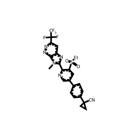 CCS(=O)(=O)c1cc(-c2ccc(C3(C#N)CC3)cc2)cnc1-c1nc2cc(C(F)(F)C(F)(F)F)nnc2n1C